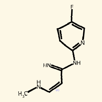 CN/C=C\C(=N)Nc1ccc(F)cn1